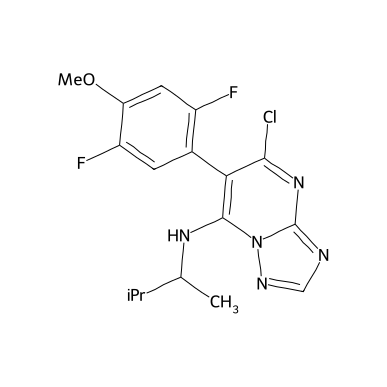 COc1cc(F)c(-c2c(Cl)nc3ncnn3c2NC(C)C(C)C)cc1F